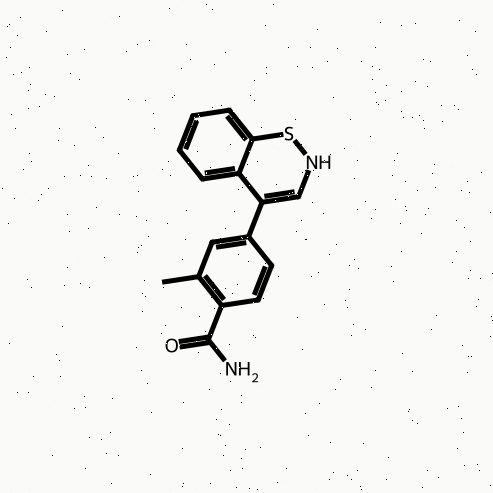 Cc1cc(C2=CNSc3ccccc32)ccc1C(N)=O